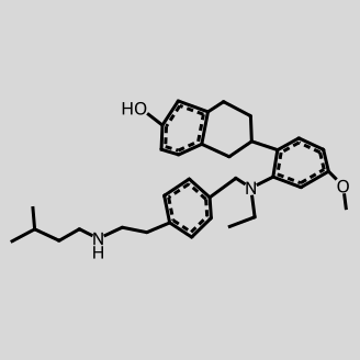 CCN(Cc1ccc(CCNCCC(C)C)cc1)c1cc(OC)ccc1C1CCc2cc(O)ccc2C1